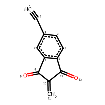 C#Cc1ccc2c(c1)C(=O)C(=C)C2=O